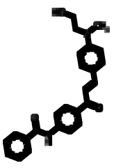 CN(CCO)c1ccc(/C=C/C(=O)c2ccc(NC(=O)c3ccccc3)cc2)cc1